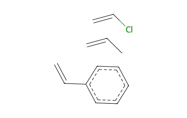 C=CC.C=CCl.C=Cc1ccccc1